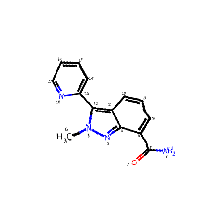 Cn1nc2c(C(N)=O)cccc2c1-c1ccccn1